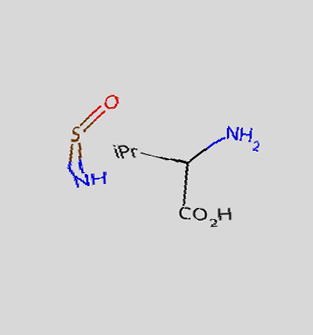 CC(C)C(N)C(=O)O.N=S=O